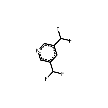 FC(F)c1cncc(C(F)F)c1